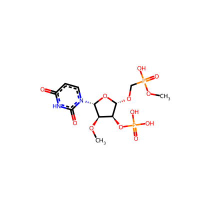 CO[C@@H]1[C@H](OP(=O)(O)O)[C@@H](OCP(=O)(O)OC)O[C@H]1n1ccc(=O)[nH]c1=O